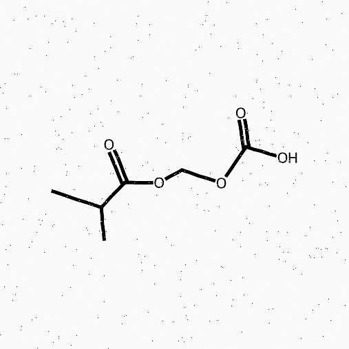 CC(C)C(=O)OCOC(=O)O